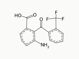 Nc1cccc(C(=O)O)c1C(=O)c1ccccc1C(F)(F)F